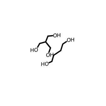 OCC(CO)CO.OCCCCO